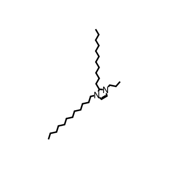 CCCCCCCCCCCCN1C=CN(CCC)C1CCCCCCCCCCC